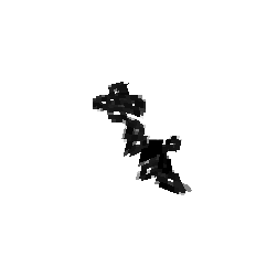 c1ccc(-c2nc(-c3ccc4cc(-c5cccc6c5-c5ccccc5C65c6ccccc6-c6ccccc65)ccc4c3)nc(-c3cccc4c3oc3ccccc34)n2)cc1